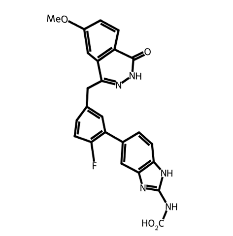 COc1ccc2c(=O)[nH]nc(Cc3ccc(F)c(-c4ccc5[nH]c(NC(=O)O)nc5c4)c3)c2c1